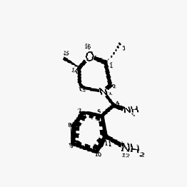 C[C@@H]1CN(C(=N)c2ccccc2N)C[C@@H](C)O1